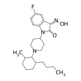 CCCCC1CCCC(C)C1N1CCC(N2C(=O)/C(=N\O)c3cc(F)ccc32)CC1